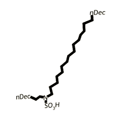 CCCCCCCCCCCCCCCCCCCCCCCCCN(CCCCCCCCCCCC)S(=O)(=O)O